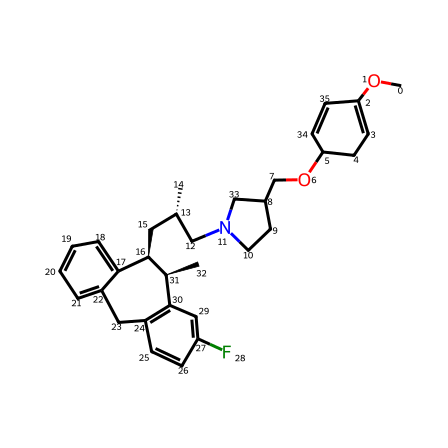 COC1=CCC(OCC2CCN(C[C@@H](C)C[C@@H]3c4ccccc4Cc4ccc(F)cc4[C@@H]3C)C2)C=C1